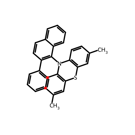 Cc1ccc2c(c1)Sc1cc(C)ccc1N2c1c(-c2ccccc2)ccc2ccccc12